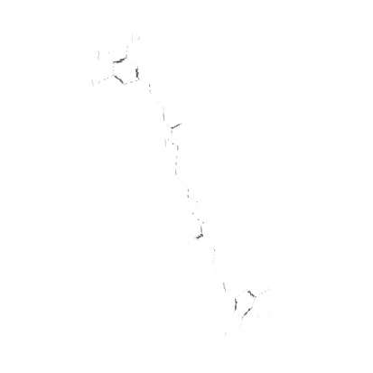 CC(C)(C)c1cc(CSCCC(=O)NCCCCCCNC(=O)CCSCc2cc(C(C)(C)C)c(O)c(C(C)(C)C)c2)cc(C(C)(C)C)c1O